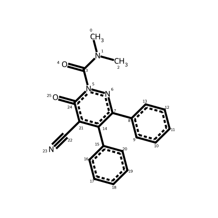 CN(C)C(=O)n1nc(-c2ccccc2)c(-c2ccccc2)c(C#N)c1=O